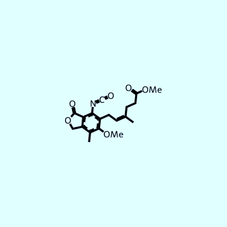 COC(=O)CCC(C)=CCc1c(N=C=O)c2c(c(C)c1OC)COC2=O